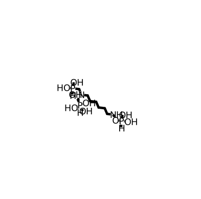 C[PH](O)(O)ONCCCCCCN(C[PH](O)(O)O)C[PH](O)(O)O